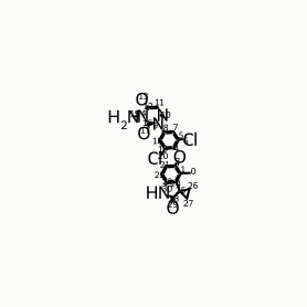 Cc1c(Oc2c(Cl)cc(-n3ncc(=O)n(N)c3=O)cc2Cl)ccc2c1C1(CC1)C(=O)N2